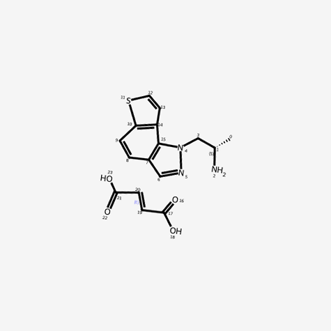 C[C@H](N)Cn1ncc2ccc3sccc3c21.O=C(O)/C=C/C(=O)O